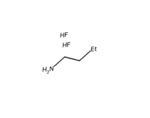 CCCCN.F.F